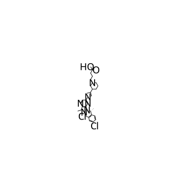 Cc1nn([C@H](C)c2ccc(Cl)cc2Cl)c2nc(N3CC(C4CCCN(CCCC(=O)O)C4)C3)cnc12